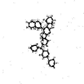 c1ccc(-c2ccc(C(c3ccccc3)c3ccc4c(c3)oc3c(-c5ccc6ccccc6c5)c5c(cc34)oc3ccccc35)cc2)cc1